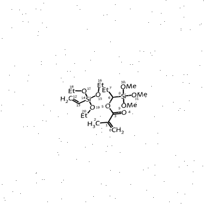 C=C(C)C(=O)OC(CC)[Si](OC)(OC)OC.C=C[Si](OCC)(OCC)OCC